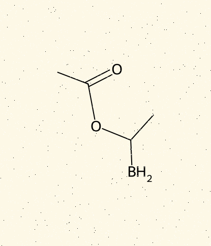 BC(C)OC(C)=O